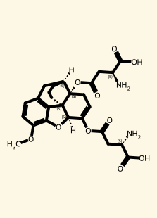 COc1ccc2c3c1O[C@@H]1C(OC(=O)C[C@H](N)C(=O)O)=CC[C@]4(OC(=O)C[C@H](N)C(=O)O)[C@@H](CCC[C@@]314)C2